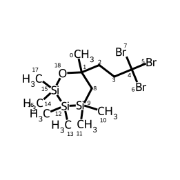 CC1(CCC(Br)(Br)Br)C[Si](C)(C)[Si](C)(C)[Si](C)(C)O1